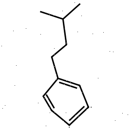 CC(C)CCc1c[c][c]cc1